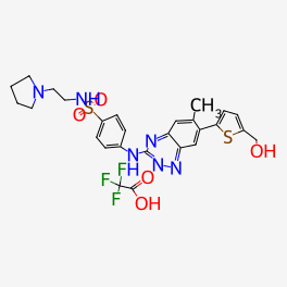 Cc1cc2nc(Nc3ccc(S(=O)(=O)NCCN4CCCC4)cc3)nnc2cc1-c1ccc(CO)s1.O=C(O)C(F)(F)F